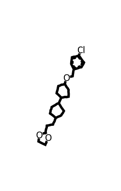 Clc1ccc(COC2CCC(C3CCC(CCC4OCCO4)CC3)CC2)cc1